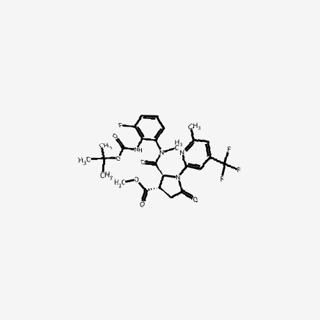 COC(=O)[C@H]1CC(=O)N(c2cc(C(F)(F)F)cc(C)n2)[C@@H]1C(=O)N(C)c1cccc(F)c1NC(=O)OC(C)(C)C